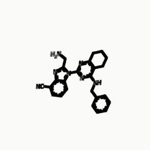 N#Cc1cccc2c1nc(CN)n2-c1nc2c(c(NCc3ccccc3)n1)CCCC2